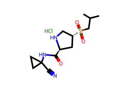 CC(C)CS(=O)(=O)[C@H]1CN[C@H](C(=O)NC2(C#N)CC2)C1.Cl